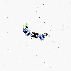 FC(F)Cn1ncc2ncc(N3CCC4(CCN(c5cncc(C(F)(F)F)n5)CC4)CC3)nc21